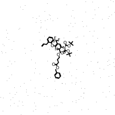 C=CCc1ccccc1Oc1nc(C(=O)OCCCC(=O)OCc2ccccc2)c(N(C(=O)OC(C)(C)C)C(=O)OC(C)(C)C)cc1C(F)(F)F